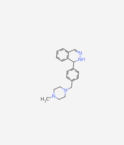 CN1CCN(Cc2ccc(C3NN=Cc4ccccc43)cc2)CC1